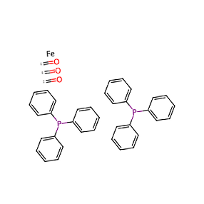 [C]=O.[C]=O.[C]=O.[Fe].c1ccc(P(c2ccccc2)c2ccccc2)cc1.c1ccc(P(c2ccccc2)c2ccccc2)cc1